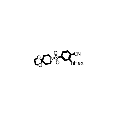 CCCCCCc1cc(S(=O)(=O)N2CCC3(CC2)OCCO3)ccc1C#N